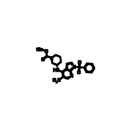 CC(C)(C)OC(=O)N1CCC[C@H](Nc2c([N+](=O)[O-])cnc3c2ccn3S(=O)(=O)c2ccccc2)C1